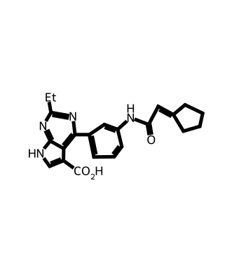 CCc1nc(-c2cccc(NC(=O)C=C3CCCC3)c2)c2c(C(=O)O)c[nH]c2n1